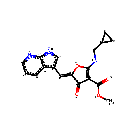 COC(=O)C1=C(NCC2CC2)OC(=Cc2c[nH]c3ncccc23)C1=O